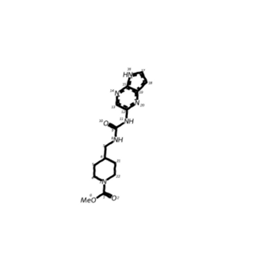 COC(=O)N1CCC(CNC(=O)Nc2cnc3[nH]ccc3n2)CC1